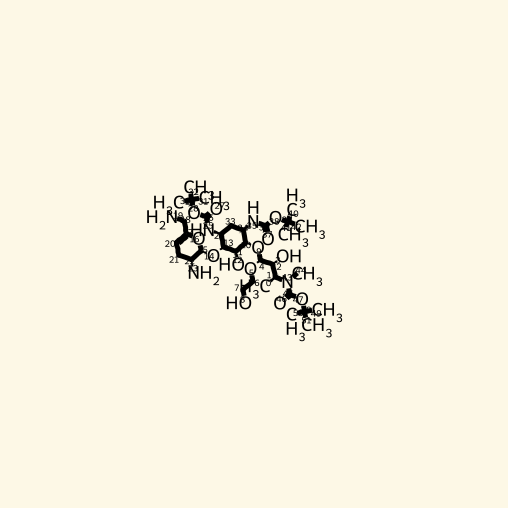 C[C@@H]([C@@H](O)[C@H](OCCO)O[C@@H]1[C@@H](O)[C@H](O[C@H]2OC(CN)=CC[C@H]2N)[C@@H](NC(=O)OC(C)(C)C)C[C@H]1NC(=O)OC(C)(C)C)N(C)C(=O)OC(C)(C)C